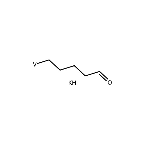 O=CCCC[CH2][V].[KH]